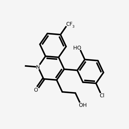 Cn1c(=O)c(CCO)c(-c2cc(Cl)ccc2O)c2cc(C(F)(F)F)ccc21